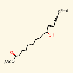 CCCCCC#C/C=C/C(O)CCCCCCCCC(=O)OC